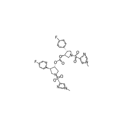 Cn1cnc(S(=O)(=O)N2C[C@@H](OC(=O)O[C@@H]3CN(S(=O)(=O)c4cn(C)cn4)C[C@H]3c3ccc(F)cc3)[C@H](c3ccc(F)cc3)C2)c1